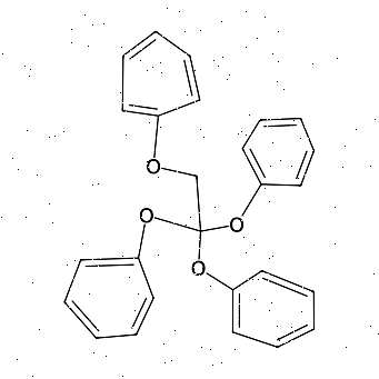 c1ccc(OCC(Oc2ccccc2)(Oc2ccccc2)Oc2ccccc2)cc1